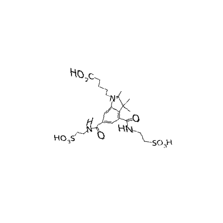 CC1=[N+](CCCCC(=O)O)c2cc(C(=O)NCCS(=O)(=O)O)cc(C(=O)NCCS(=O)(=O)O)c2C1(C)C